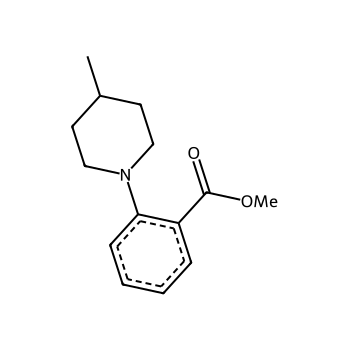 COC(=O)c1ccccc1N1CCC(C)CC1